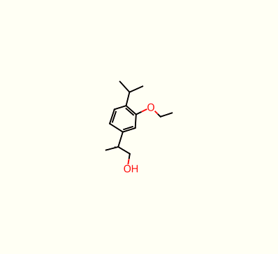 CCOc1cc([C](C)CO)ccc1C(C)C